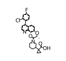 C[C@@H](Oc1ccc2c(-c3ccc(F)cc3Cl)ccnc2c1)C(=O)N1CCCC(C2(C(=O)O)CC2)C1